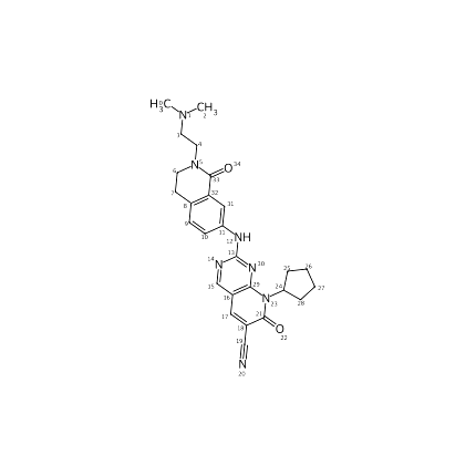 CN(C)CCN1CCc2ccc(Nc3ncc4cc(C#N)c(=O)n(C5CCCC5)c4n3)cc2C1=O